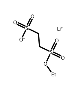 CCOS(=O)(=O)CCS(=O)(=O)[O-].[Li+]